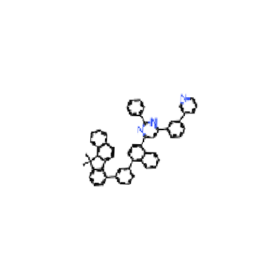 CC1(C)c2cccc(-c3cccc(-c4ccc(-c5cc(-c6cccc(-c7cccnc7)c6)nc(-c6ccccc6)n5)c5ccccc45)c3)c2-c2ccc3ccccc3c21